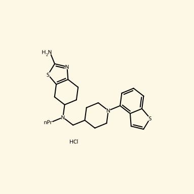 CCCN(CC1CCN(c2cccc3sccc23)CC1)C1CCc2nc(N)sc2C1.Cl